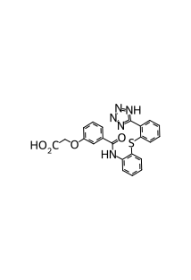 O=C(O)COc1cccc(C(=O)Nc2ccccc2Sc2ccccc2-c2nnn[nH]2)c1